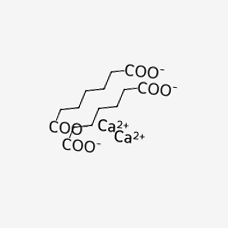 O=C([O-])CCCCCC(=O)[O-].O=C([O-])CCCCCC(=O)[O-].[Ca+2].[Ca+2]